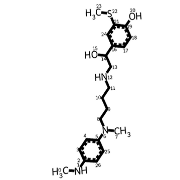 CNc1ccc(N(C)CCCCNCC(O)c2ccc(O)c(SC)c2)cc1